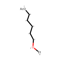 CCOCCCCCOC(C)=O